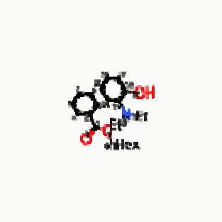 CCCCCCOC(=O)c1ccccc1.CCN(CC)c1ccccc1O